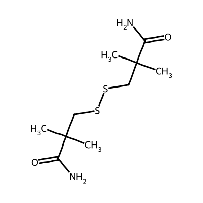 CC(C)(CSSCC(C)(C)C(N)=O)C(N)=O